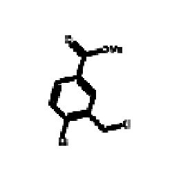 CCc1ccc(C(=O)OC)cc1CCl